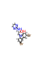 OC(CNc1ncccn1)Cn1c2ccc(Br)cc2c2cc(Br)ccc21